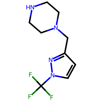 FC(F)(F)n1ccc(CN2CCNCC2)n1